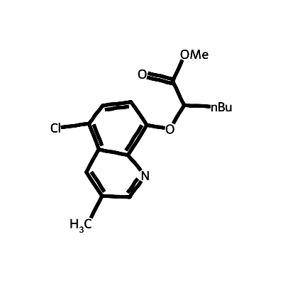 CCCCC(Oc1ccc(Cl)c2cc(C)cnc12)C(=O)OC